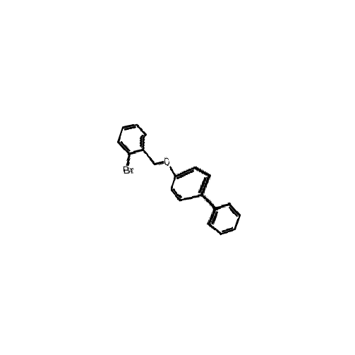 Brc1ccccc1COc1ccc(-c2ccccc2)cc1